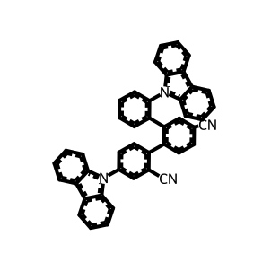 N#Cc1ccc(-c2ccc(-n3c4ccccc4c4ccccc43)cc2C#N)c(-c2ccccc2-n2c3ccccc3c3ccccc32)c1